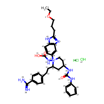 CCOCCCc1nc2cc([N+]3(NC(=O)O)CCC(NC(=O)Nc4ccccc4)CC3CCc3ccc(C(=N)N)cc3)ccc2[nH]1.Cl.Cl